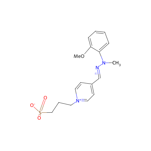 COc1ccccc1N(C)/N=C/c1cc[n+](CCCS(=O)(=O)[O-])cc1